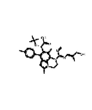 C=N/C(=N\C=C(/C)CO)N1CCn2c(C)cc3c(-c4ccc(C)cc4)c([C@H](OC(C)(C)C)C(=O)O)c(C)c1c32